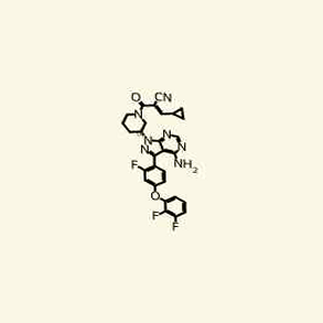 N#CC(=CC1CC1)C(=O)N1CCC[C@H](n2nc(-c3ccc(Oc4cccc(F)c4F)cc3F)c3c(N)ncnc32)C1